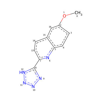 COc1ccc2nc(-c3nnn[nH]3)ccc2c1